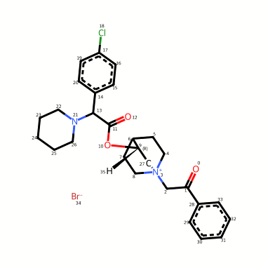 O=C(C[N+]12CCC(CC1)[C@@H](OC(=O)C(c1ccc(Cl)cc1)N1CCCCC1)C2)c1ccccc1.[Br-]